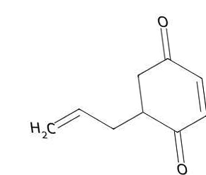 C=CCC1CC(=O)C=CC1=O